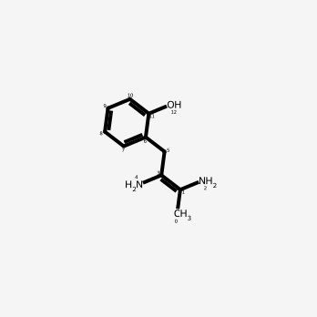 CC(N)=C(N)Cc1ccccc1O